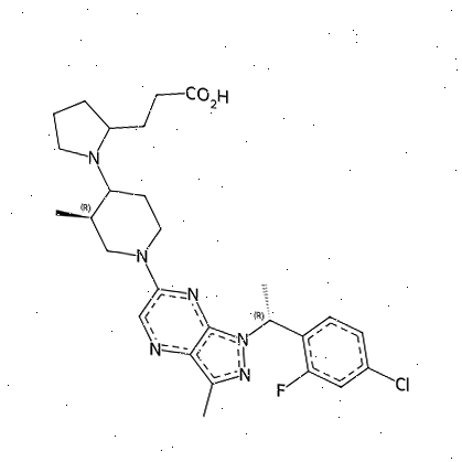 Cc1nn([C@H](C)c2ccc(Cl)cc2F)c2nc(N3CCC(N4CCCC4CCC(=O)O)[C@H](C)C3)cnc12